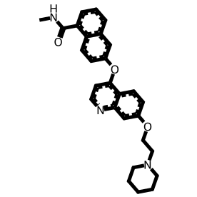 CNC(=O)c1cccc2cc(Oc3ccnc4cc(OCCN5CCCCC5)ccc34)ccc12